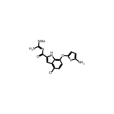 CNC(N)=NC(=O)c1cc2c(Cl)ccc(Oc3ccc(N)s3)c2[nH]1